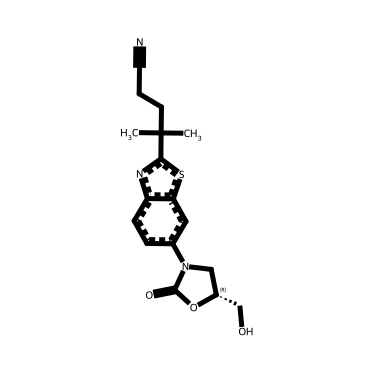 CC(C)(CCC#N)c1nc2ccc(N3C[C@H](CO)OC3=O)cc2s1